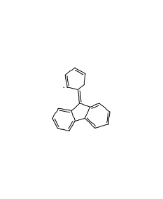 [C]1=CC=CCC1=C1c2ccccc2-c2ccccc21